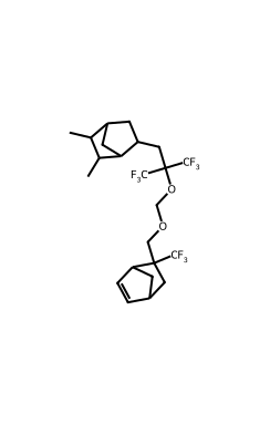 CC1C2CC(CC(OCOCC3(C(F)(F)F)CC4C=CC3C4)(C(F)(F)F)C(F)(F)F)C(C2)C1C